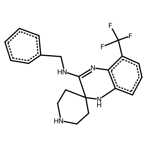 FC(F)(F)c1cccc2c1N=C(NCc1ccccc1)C1(CCNCC1)N2